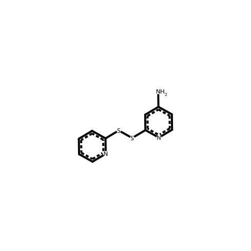 Nc1ccnc(SSc2ccccn2)c1